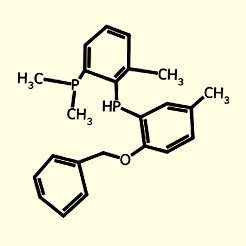 Cc1ccc(OCc2ccccc2)c(Pc2c(C)cccc2P(C)C)c1